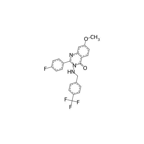 COc1ccc2c(=O)n(NCc3ccc(C(F)(F)F)cc3)c(-c3ccc(F)cc3)nc2c1